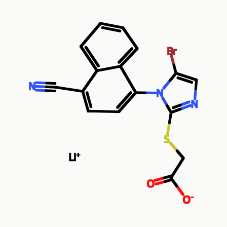 N#Cc1ccc(-n2c(Br)cnc2SCC(=O)[O-])c2ccccc12.[Li+]